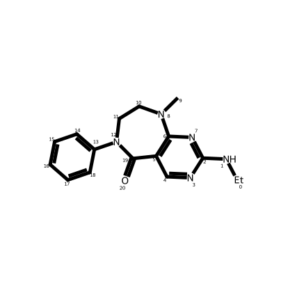 CCNc1ncc2c(n1)N(C)CCN(c1ccccc1)C2=O